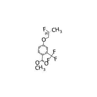 COC(=O)c1ccc(OC[C@@H](C)F)cc1C(F)(F)F